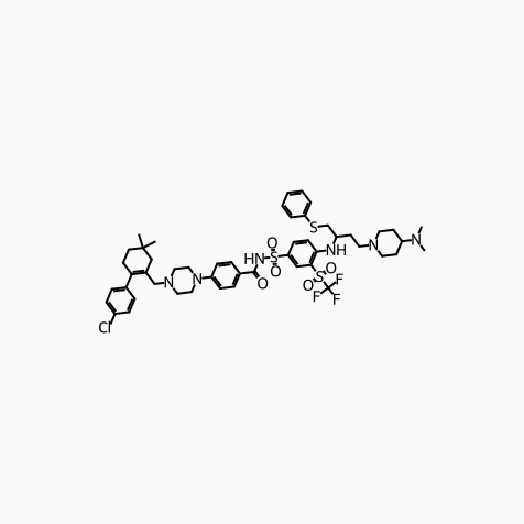 CN(C)C1CCN(CCC(CSc2ccccc2)Nc2ccc(S(=O)(=O)NC(=O)c3ccc(N4CCN(CC5=C(c6ccc(Cl)cc6)CCC(C)(C)C5)CC4)cc3)cc2S(=O)(=O)C(F)(F)F)CC1